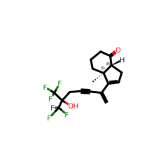 C=C(C#CCC(O)(C(F)(F)F)C(F)(F)F)C1=CC[C@H]2C(=O)CCC[C@]12C